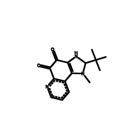 CN1C2=C(NC1C(C)(C)C)C(=O)C(=O)c1ncccc12